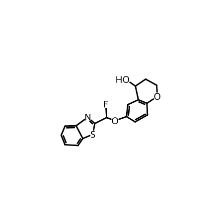 OC1CCOc2ccc(OC(F)c3nc4ccccc4s3)cc21